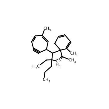 CCCC(C)(CC)C(C1C#CC=CC(C)=C1)C1(C(C)=S)CC=CC=C1C